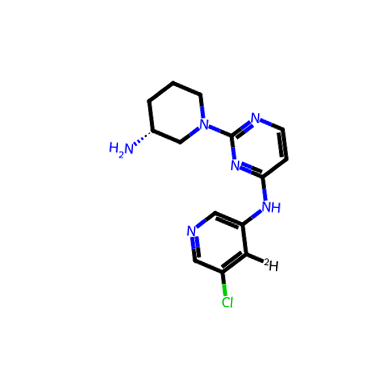 [2H]c1c(Cl)cncc1Nc1ccnc(N2CCC[C@@H](N)C2)n1